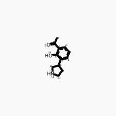 CC(=O)c1cccc(C2CCNC2)c1O